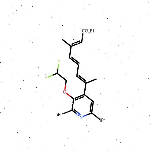 CCOC(=O)C=C(C)C=CC=C(C)c1cc(C(C)C)nc(C(C)C)c1OCC(F)F